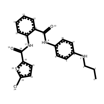 CCCNc1ccc(NC(=O)c2ccccc2NC(=O)c2ccc(Cl)s2)cc1